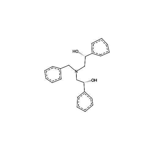 O[C@@H](CN(Cc1ccccc1)C[C@H](O)c1ccccc1)c1ccccc1